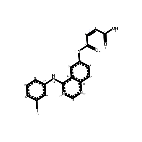 O=C(O)/C=C\C(=O)Nc1ccc2ncnc(Nc3cccc(I)c3)c2c1